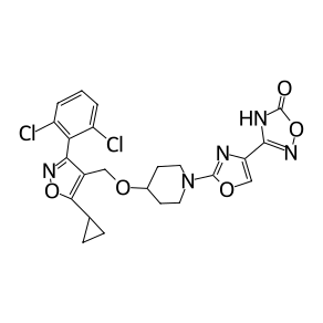 O=c1[nH]c(-c2coc(N3CCC(OCc4c(-c5c(Cl)cccc5Cl)noc4C4CC4)CC3)n2)no1